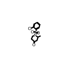 CC1CC(=O)CCN1S(=O)(=O)c1ccccc1Cl